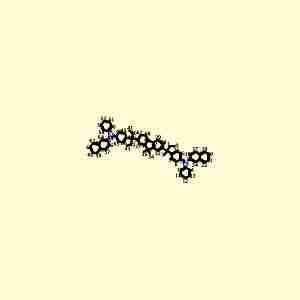 CCC(C)(c1ccc(N(c2ccccc2)c2ccc3ccccc3c2)cc1)c1ccc2c(c1)C(C)(C)c1cc(C(CC)(CC)c3ccc(N(c4ccccc4)c4ccc5ccccc5c4)cc3)ccc1-2